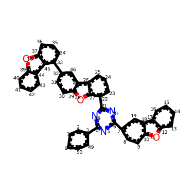 c1ccc(-c2nc(-c3ccc4oc5ccccc5c4c3)nc(-c3cccc4c3oc3ccc(-c5cccc6oc7ccccc7c56)cc34)n2)cc1